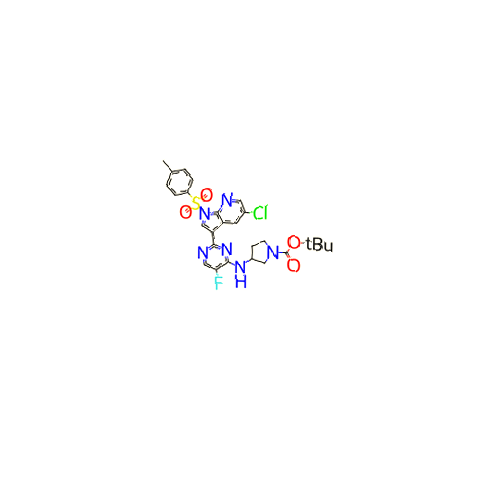 Cc1ccc(S(=O)(=O)n2cc(-c3ncc(F)c(NC4CCN(C(=O)OC(C)(C)C)C4)n3)c3cc(Cl)cnc32)cc1